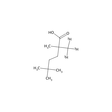 [2H]C([2H])([2H])C(C)(CCC(C)(C)C)C(=O)O